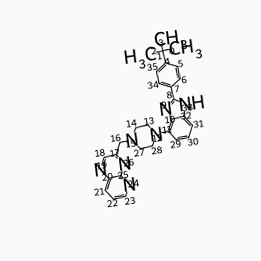 CC(C)(C)c1ccc(-c2nc3c(N4CCN(Cc5cnc6cccnc6n5)CC4)cccc3[nH]2)cc1